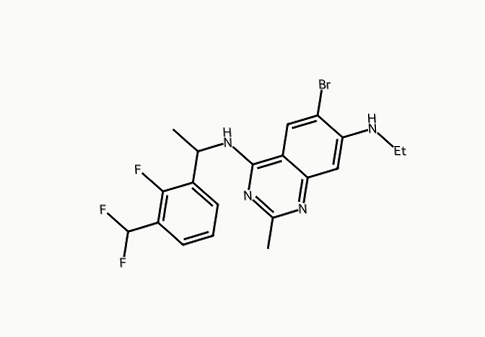 CCNc1cc2nc(C)nc(NC(C)c3cccc(C(F)F)c3F)c2cc1Br